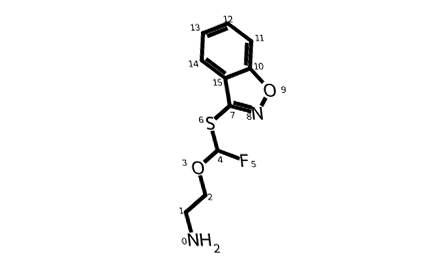 NCCOC(F)Sc1noc2ccccc12